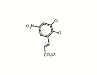 CCOC(=O)/C=C/c1cc([N+](=O)[O-])cc(Cl)c1Cl